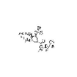 CCC(CC)O[C@@H]1C=C(C(=O)OC(OC(=O)[C@H](C)C(C)C)C(C)C)C[C@H](N)[C@H]1NC(C)=O